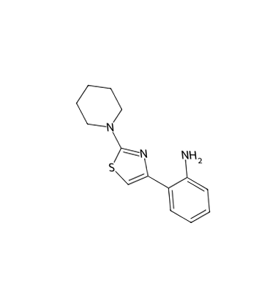 Nc1ccccc1-c1csc(N2CCCCC2)n1